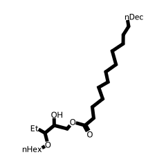 CCCCCCCCCCCCCCCCCCCCCC(=O)OCC(O)C(CC)OCCCCCC